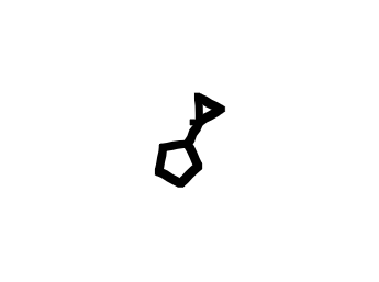 C1CCC([C]2CC2)C1